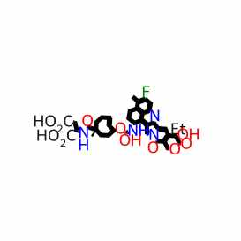 CC[C@@]1(O)C(=O)OCc2c1cc1n(c2=O)Cc2c-1nc1cc(F)c(C)c3c1c2[C@@H](NC(O)O[C@H]1/C=C/CC[C@@](C)(C(=O)N[C@@H](CC(=O)O)C(=O)O)CC1)CC3